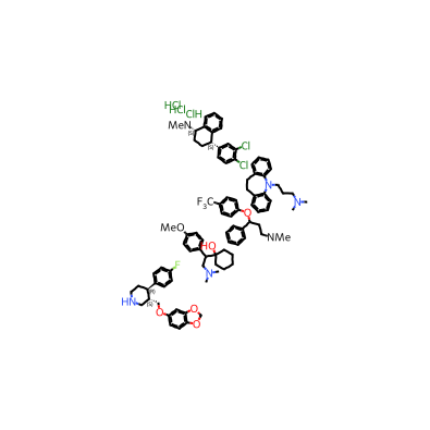 CN(C)CCCN1c2ccccc2CCc2ccccc21.CNCCC(Oc1ccc(C(F)(F)F)cc1)c1ccccc1.CN[C@H]1CC[C@@H](c2ccc(Cl)c(Cl)c2)c2ccccc21.COc1ccc(C(CN(C)C)C2(O)CCCCC2)cc1.Cl.Cl.Cl.Fc1ccc([C@@H]2CCNC[C@H]2COc2ccc3c(c2)OCO3)cc1